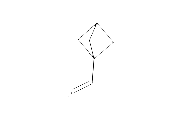 O=[C]C12CC(C1)C2